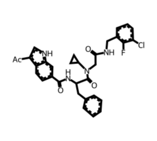 CC(=O)c1c[nH]c2cc(C(=O)NC(Cc3ccccc3)C(=O)N(CC(=O)NCc3cccc(Cl)c3F)C3CC3)ccc12